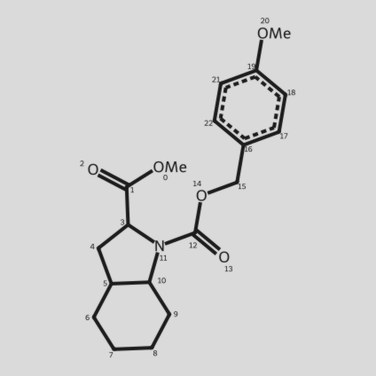 COC(=O)C1CC2CCCCC2N1C(=O)OCc1ccc(OC)cc1